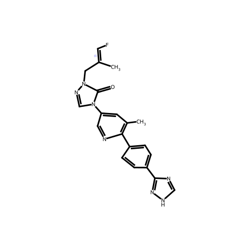 C/C(=C\F)Cn1ncn(-c2cnc(-c3ccc(-c4nc[nH]n4)cc3)c(C)c2)c1=O